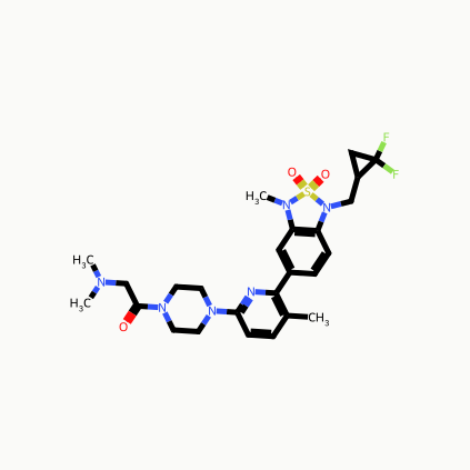 Cc1ccc(N2CCN(C(=O)CN(C)C)CC2)nc1-c1ccc2c(c1)N(C)S(=O)(=O)N2CC1CC1(F)F